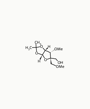 COC[C@@]1(CO)O[C@@H]2OC(C)(C)O[C@@H]2[C@@H]1OC